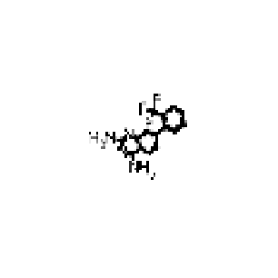 Nc1nc(N)c2ccc(-c3ccccc3C(F)(F)F)cc2n1